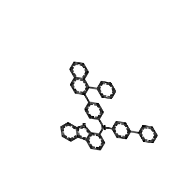 c1ccc(-c2ccc(N(c3ccc(-c4ccc5ccccc5c4-c4ccccc4)cc3)c3cccc4c3sc3ccccc34)cc2)cc1